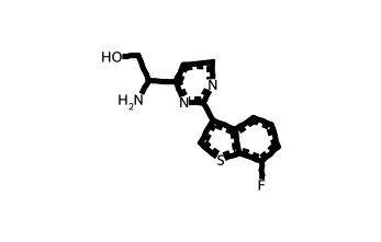 NC(CO)c1ccnc(-c2csc3c(F)cccc23)n1